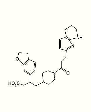 O=C(O)CC(CC1CCN(C(=O)CCc2ccc3c(n2)NCCC3)CC1)c1ccc2c(c1)OCC2